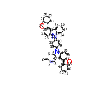 C=C/C=C\c1c(C)n(-c2ccc(-n3c4ccccc4c4c5c(ccc43)oc3ccccc35)cc2)c2ccc3oc4ccccc4c3c12